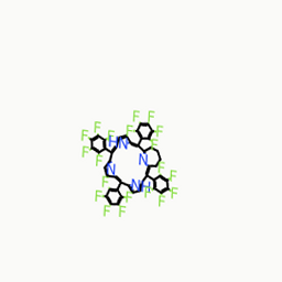 Fc1c(F)c(F)c(-c2c3nc(c(-c4c(F)c(F)c(F)c(F)c4F)c4ccc([nH]4)c(-c4c(F)c(F)c(F)c(F)c4F)c4nc(c(-c5c(F)c(F)c(F)c(F)c5F)c5ccc2[nH]5)CCCC4)C=C3)c(F)c1F